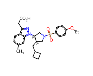 CCOc1ccc(S(=O)(=O)N2C[C@@H](CC3CCC3)[C@@H](n3nc(CC(=O)O)c4ccc(C)cc43)C2)cc1